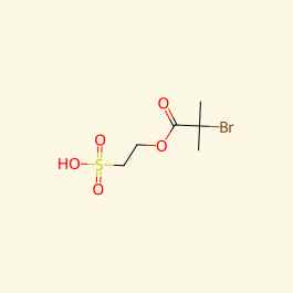 CC(C)(Br)C(=O)OCCS(=O)(=O)O